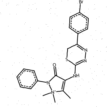 CC1=C(NC2=NN=C(c3ccc(Br)cc3)CS2)C(=O)N(c2ccccc2)[N+]1(C)C